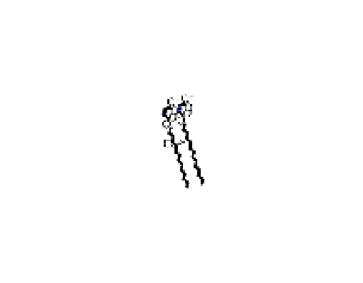 CCCCCCCCCCCCCCOC(=O)/C=C\C(=O)[O-].CCCCCCCCCCCCCCOC(=O)/C=C\C(=O)[O-].[Ca+2]